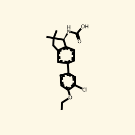 CCOc1ccc(-c2ccc3c(c2)CC(C)(C)[C@H]3NC(=O)O)cc1Cl